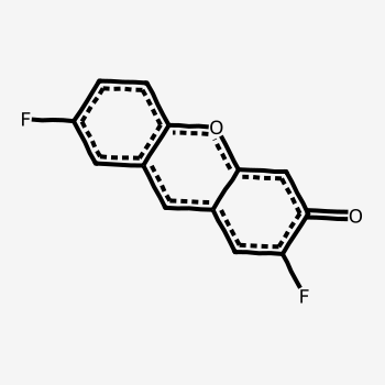 O=c1cc2oc3ccc(F)cc3cc-2cc1F